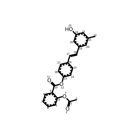 CC(=O)Oc1ccccc1C(=O)Oc1ccc(/C=C/c2cc(C)cc(O)c2)cc1